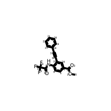 COC(=O)c1ccc(NC(=O)C(F)(F)F)c(C#Cc2ccccc2)c1